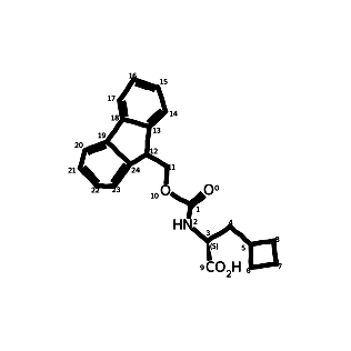 O=C(N[C@@H](CC1CCC1)C(=O)O)OCC1c2ccccc2-c2ccccc21